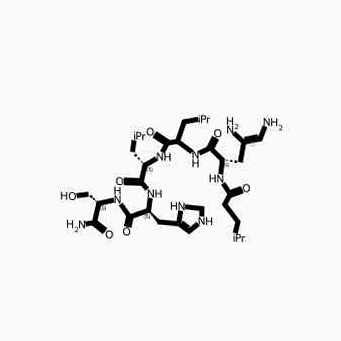 CC(C)CCC(=O)N[C@@H](C/C(N)=C/N)C(=O)NC(CC(C)C)C(=O)N[C@@H](CC(C)C)C(=O)N[C@@H](CC1=CNCN1)C(=O)N[C@@H](CO)C(N)=O